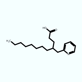 CCCCCCCCC(CCC(=O)O)Cc1ccccn1